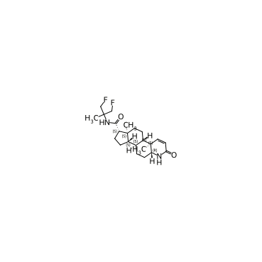 CC(CF)(CF)NC(=O)[C@H]1CC[C@H]2[C@@H]3CC[C@H]4NC(=O)C=C[C@]4(C)[C@H]3CC[C@]12C